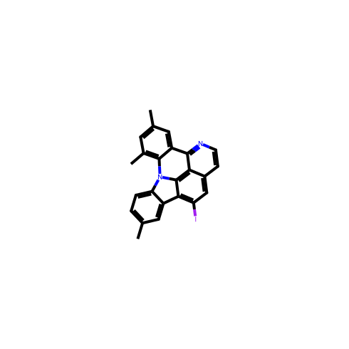 Cc1ccc2c(c1)c1c(I)cc3ccnc4c5cc(C)cc(C)c5n2c1c34